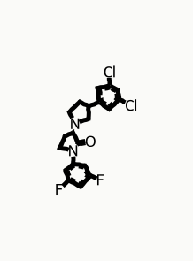 O=C1[C@@H](N2CCC(c3cc(Cl)cc(Cl)c3)C2)CCN1c1cc(F)cc(F)c1